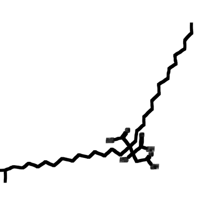 CCCCCCCCCCCCCCCCC(CCCCCCCCCCCCCCC(C)C)(C(=O)O)C(O)(CC(=O)O)C(=O)O